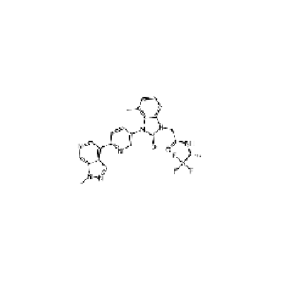 Cc1cccc2c1n(-c1ccc(-c3cncc4c3cnn4C)nc1)c(=O)n2CC(=O)N[C@H](C)C(F)(F)F